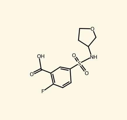 O=C(O)c1cc(S(=O)(=O)NC2CCOC2)ccc1F